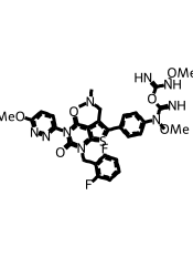 CONC(=N)OC(=N)N(OC)c1ccc(-c2sc3c(c2CN(C)C)c(=O)n(-c2ccc(OC)nn2)c(=O)n3Cc2c(F)cccc2F)cc1